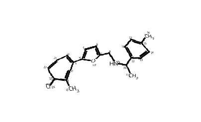 CC1=CC(c2ccc(CNC(C)c3ccc(C)cc3)o2)=CC=CC1Cl